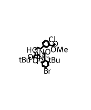 COC(=O)c1cc(C(CO)N2C(=O)[C@@](CC(C)(C)C)(c3ccc(Br)cc3F)NC2=NC(=O)OC(C)(C)C)ccc1Cl